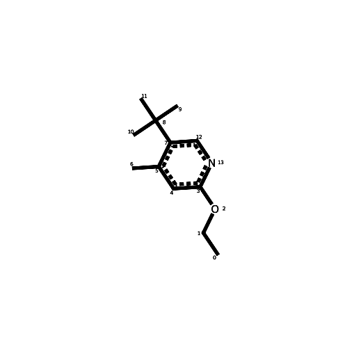 CCOc1cc(C)c(C(C)(C)C)cn1